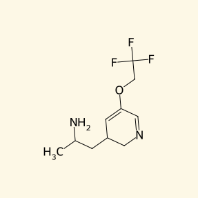 CC(N)CC1C=C(OCC(F)(F)F)C=NC1